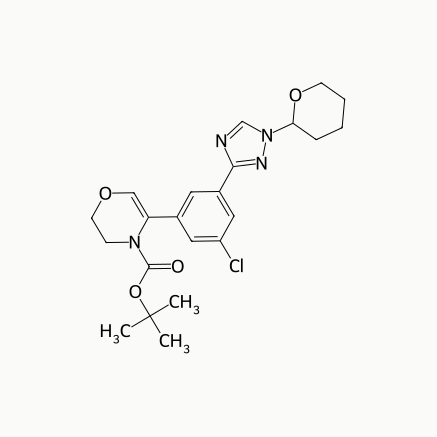 CC(C)(C)OC(=O)N1CCOC=C1c1cc(Cl)cc(-c2ncn(C3CCCCO3)n2)c1